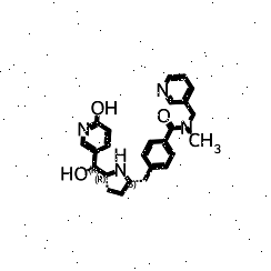 CN(Cc1cccnc1)C(=O)c1ccc(C[C@@H]2CC[C@H]([C@H](O)c3ccc(O)nc3)N2)cc1